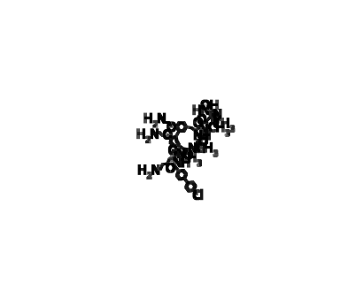 CC(NC(=O)C1Cc2ccc(OCCN)c(c2)-c2cc(ccc2OCCN)C(N(C)C(=O)[C@H](CCCCN)NC(=O)c2ccc(-c3ccc(Cl)cc3)cc2)C(=O)N[C@@H](C)C(=O)N1)C(=O)c1c(NO)cnn1C